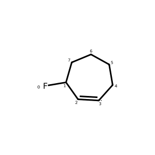 FC1C=[C]CCCC1